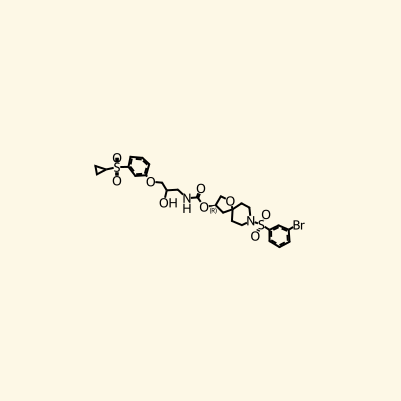 O=C(NCC(O)COc1cccc(S(=O)(=O)C2CC2)c1)O[C@H]1COC2(CCN(S(=O)(=O)c3cccc(Br)c3)CC2)C1